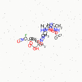 C/C(=C\c1cc(F)cc(N2CCOCC2)c1)[C@H]1OC(=O)C[C@H](O)CC[C@H](C)[C@@H](OC(=O)N2CC[N+](C)(Cc3ccc(NC(=O)C(C)NC(=O)C(NC(=O)OCC4c5ccccc5-c5ccccc54)C(C)C)cc3)CC2)/C=C/[C@@H]1C